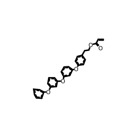 C=CC(=O)OCCc1ccc(Oc2cccc(Oc3cccc(Oc4ccccc4)c3)c2)cc1